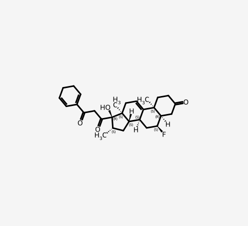 C[C@H]1C[C@H]2[C@@H]3C[C@H](F)[C@@H]4CC(=O)CC[C@]4(C)C3=CC[C@]2(C)[C@@]1(O)C(=O)CC(=O)C1=CCCC=C1